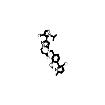 COc1cc(CN2C(=O)CCn3nc(-c4c(Cl)cnn4C(C)C)cc32)ccc1-c1nc(C)ccc1Cl